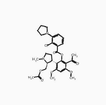 COc1cc(OC)c([C@H]2CCN(C)[C@@H]2COC(C)=O)c(OC(=O)c2cccc(N3CCCC3)c2Cl)c1C(C)=O